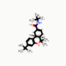 CCCC(C)(C)c1ccc2c(c1)OC(C)(C)[C@@H]1CC=C(C(=O)NC(C)(C)C(F)(F)F)C[C@@H]21